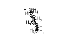 Cc1cc(C(=O)Nc2ccc(NC(=O)OC(C)(C)C)cc2)c(C)cc1C(=O)Nc1ccc(NC(=O)OC(C)(C)C)cc1